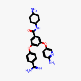 N=C(N)c1ccc(Oc2cc(Oc3ccc(N)nc3)cc(C(=O)NC3CCC(N)CC3)c2)cc1